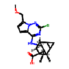 COCc1ccc2c(N[C@@H]3[C@@H](C(=O)O)[C@H]4CC[C@@H]3C3CC34)nc(Cl)nn12